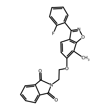 Cc1c(OCCN2C(=O)c3ccccc3C2=O)ccc2c(-c3ccccc3F)noc12